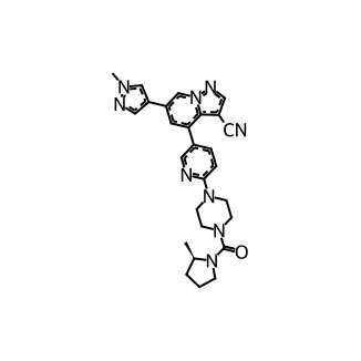 C[C@@H]1CCCN1C(=O)N1CCN(c2ccc(-c3cc(-c4cnn(C)c4)cn4ncc(C#N)c34)cn2)CC1